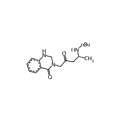 CCCCNC(C)CC(=O)CN1CNc2ccccc2C1=O